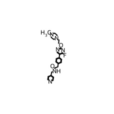 CN1CCN(CCOc2ncc(-c3ccc(CC(=O)NCc4ccncc4)cc3)c(F)n2)CC1